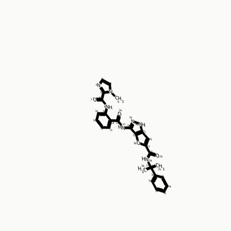 Cn1ccnc1C(=O)Nc1ccccc1C(=O)Nc1n[nH]c2cc(C(=O)NC(C)(C)c3ccccc3)oc12